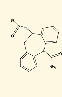 CCC(=O)OC1Cc2ccccc2N(C(N)=O)c2ccccc21